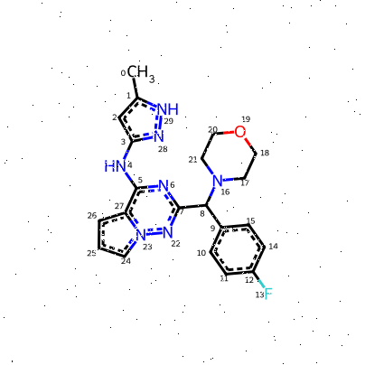 Cc1cc(Nc2nc(C(c3ccc(F)cc3)N3CCOCC3)nn3cccc23)n[nH]1